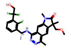 COCC1(C)C(=O)N(C)c2cc3c(N[C@H](C)c4cccc(C(F)(F)CO)c4F)nnc(C)c3cc21